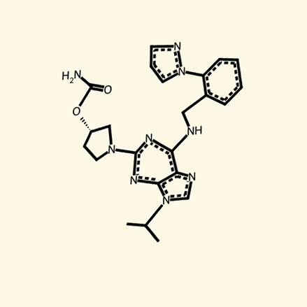 CC(C)n1cnc2c(NCc3ccccc3-n3cccn3)nc(N3CC[C@H](OC(N)=O)C3)nc21